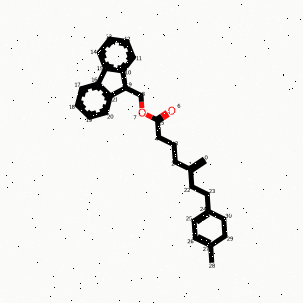 C=C(CCCC(=O)OCC1c2ccccc2-c2ccccc21)CCC1=CC=C(C)CC1